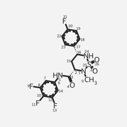 CN1[C@H](C(=O)Nc2cc(F)c(F)c(F)c2)C[C@H](c2ccc(F)cc2)NS1(=O)=O